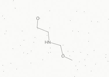 COCNCC[O]